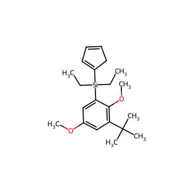 CC[Si](CC)(C1=CC=CC1)c1cc(OC)cc(C(C)(C)C)c1OC